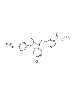 COC(=O)c1cccc(Cn2c(=O)n(-c3ccc(OC)cc3)c3cc(Cl)ccc32)c1